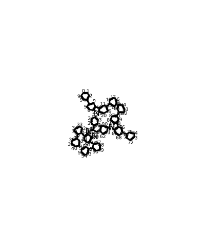 c1ccc(-c2ccc3c(c2)c2cc(-c4ccccc4)ccc2n3-c2ccc(-c3nc4c(-c5ccccc5-c5ccccc5)ccc(-c5ccccc5-c5ccccc5)c4nc3-c3ccc(-n4c5ccc(-c6ccccc6)cc5c5cc(-c6ccccc6)ccc54)cc3)cc2)cc1